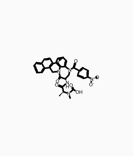 COc1ccc2ccccc2c1CN1C(=O)[C@@H](NC(=O)[C@H](C)N(C)C(=O)O)CN(C(=O)c2ccc([N+](=O)[O-])cc2)c2ccccc21